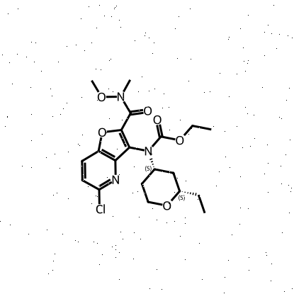 CCOC(=O)N(c1c(C(=O)N(C)OC)oc2ccc(Cl)nc12)[C@H]1CCO[C@@H](CC)C1